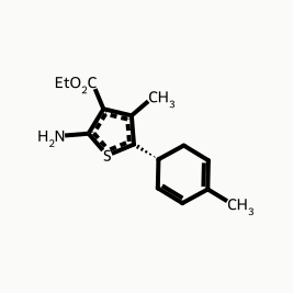 CCOC(=O)c1c(N)sc([C@H]2C=CC(C)=CC2)c1C